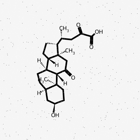 C[C@H](CC(=O)C(=O)O)[C@H]1CC[C@H]2[C@@H]3CC[C@@H]4C[C@H](O)CC[C@]4(C)[C@H]3C(=O)C[C@]12C